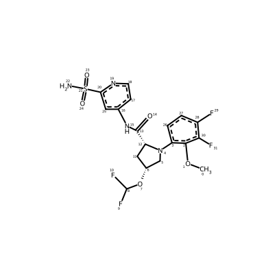 COc1c(N2C[C@H](OC(F)F)C[C@@H]2C(=O)Nc2ccnc(S(N)(=O)=O)c2)ccc(F)c1F